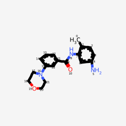 Cc1ccc(N)cc1NC(=O)c1cccc(N2CCOCC2)c1